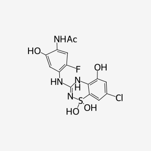 CC(=O)Nc1cc(F)c(NC2=NS(O)(O)c3cc(Cl)cc(O)c3N2)cc1O